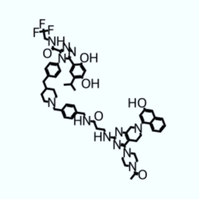 CC(=O)N1CCN(c2nc(NCCC(=O)NCc3ccc(CN4CCC(Cc5ccc(-n6c(C(=O)NCC(F)(F)F)nnc6-c6cc(C(C)C)c(O)cc6O)cc5)CC4)cc3)nc3c2CCN(c2cc(O)cc4ccccc24)C3)CC1